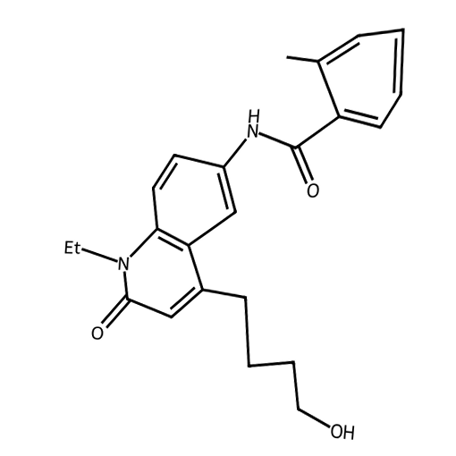 CCn1c(=O)cc(CCCCO)c2cc(NC(=O)c3ccccc3C)ccc21